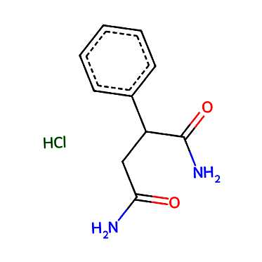 Cl.NC(=O)CC(C(N)=O)c1ccccc1